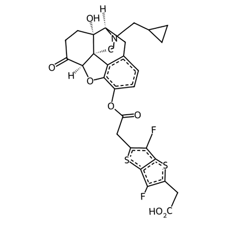 O=C(O)Cc1sc2c(F)c(CC(=O)Oc3ccc4c5c3O[C@H]3C(=O)CC[C@@]6(O)[C@@H](C4)N(CC4CC4)CC[C@]536)sc2c1F